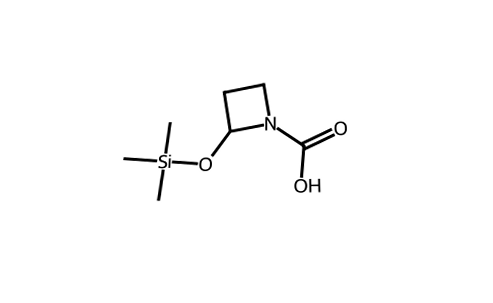 C[Si](C)(C)OC1CCN1C(=O)O